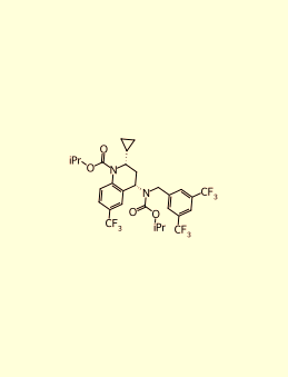 CC(C)OC(=O)N(Cc1cc(C(F)(F)F)cc(C(F)(F)F)c1)[C@H]1C[C@@H](C2CC2)N(C(=O)OC(C)C)c2ccc(C(F)(F)F)cc21